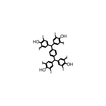 Oc1c(I)cc(C(c2ccc(C(c3cc(I)c(O)c(I)c3)c3cc(I)c(O)c(I)c3)cc2)c2cc(I)c(O)c(I)c2)cc1I